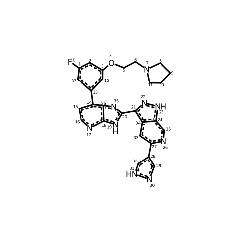 Fc1cc(OCCN2CCCC2)cc(-c2ccnc3[nH]c(-c4n[nH]c5cnc(-c6cn[nH]c6)cc45)nc23)c1